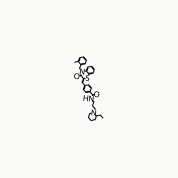 CCC1CCCCN1CCCNC(=O)c1ccc(/C=C2\Sc3ccccc3N(Cc3ccccc3C)C2=O)cc1